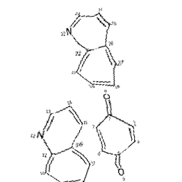 O=C1C=CC(=O)C=C1.c1ccc2ncccc2c1.c1ccc2ncccc2c1